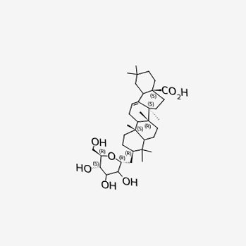 CC1(C)CC[C@]2(C(=O)O)CC[C@]3(C)C(=CCC4[C@@]5(C)CC[C@H](C[C@H]6O[C@H](CO)[C@@H](O)C(O)C6O)C(C)(C)C5CC[C@]43C)C2C1